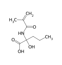 C=C(C)C(=O)NC(O)(CCC)C(=O)O